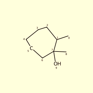 CC1CCCCCC1(C)O